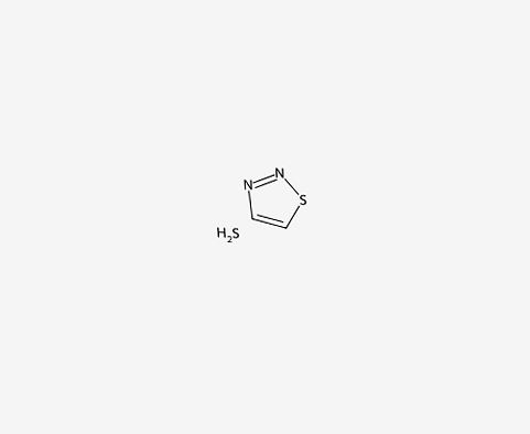 S.c1csnn1